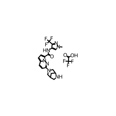 Cn1cc(NC(=O)c2ccc3ccc(N4CC5CNC(C5)C4)nn23)c(C(F)(F)F)n1.O=C(O)C(F)(F)F